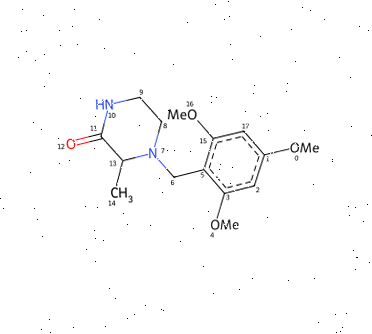 COc1cc(OC)c(CN2CCNC(=O)C2C)c(OC)c1